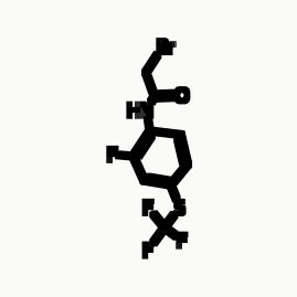 O=C(CBr)Nc1ccc(SC(F)(F)F)cc1F